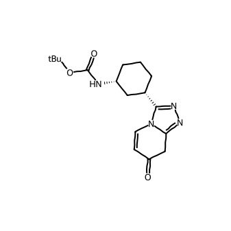 CC(C)(C)OC(=O)N[C@@H]1CCC[C@H](c2nnc3n2C=CC(=O)C3)C1